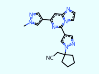 Cn1cc(-c2cc3nccn3c(-c3cnn(C4(CC#N)CCCC4)c3)n2)cn1